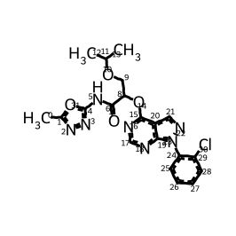 Cc1nnc(NC(=O)C(COC(C)C)Oc2ncnc3c2cnn3-c2ccccc2Cl)o1